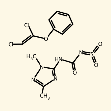 Cc1nc(NC(=O)N=S(=O)=O)n(C)n1.ClC=C(Cl)Oc1ccccc1